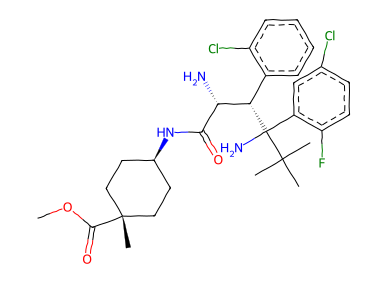 COC(=O)[C@]1(C)CC[C@@H](NC(=O)[C@H](N)[C@H](c2ccccc2Cl)C(N)(c2cc(Cl)ccc2F)C(C)(C)C)CC1